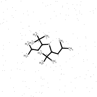 CC(C)CC(SC(CC(C)C)C(C)(C)C)C(C)(C)C